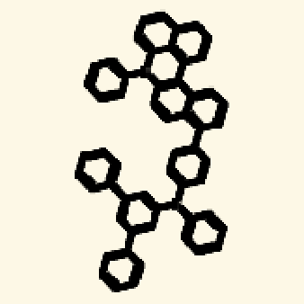 c1ccc(-c2cc(-c3ccccc3)cc(N(c3ccccc3)c3ccc(-c4cccc5c6c(ccc45)N(c4ccccc4)c4cccc5cccc-6c45)cc3)c2)cc1